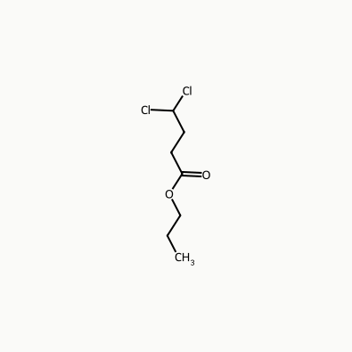 CCCOC(=O)CCC(Cl)Cl